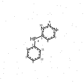 c1ccc(Pc2ccnnn2)cc1